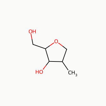 CC1COC(CO)C1O